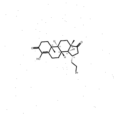 CC(C)CC[C@H]1CC(=O)[C@@]2(C)CC[C@H]3[C@@H](CCC4=C(O)C(=O)CC[C@@]43C)[C@H]12